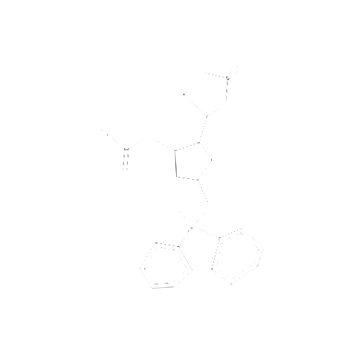 CC(C)(C)[Si](OC1CC(OC(N)=O)C(C2COC(=O)O2)C1)(c1ccccc1)c1ccccc1